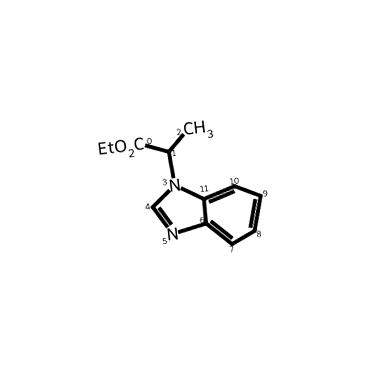 CCOC(=O)C(C)n1cnc2ccccc21